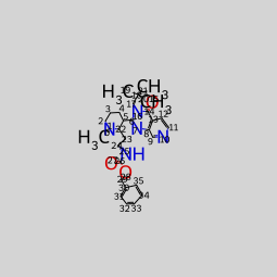 CN1CCCC(c2nc3cnccc3c(=O)n2CC(C)(C)C)C1CCNC(=O)OCc1ccccc1